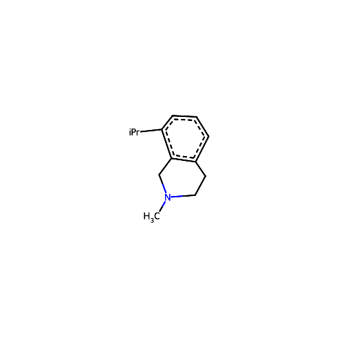 CC(C)c1cccc2c1CN(C)CC2